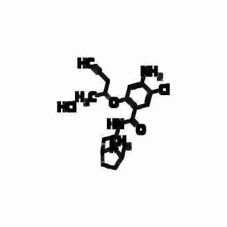 C#CCC(C)Oc1cc(N)c(Cl)cc1C(=O)NC1CC2CCC(C1)N2C.Cl